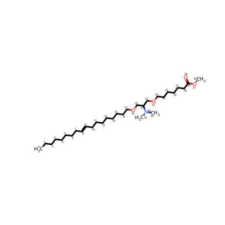 CCCCCCCCC=CCCCCCCCCOCC(COCCCCCCC(=O)OC)N(C)C